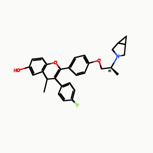 CC1C(c2ccc(F)cc2)=C(c2ccc(OC[C@H](C)N3CC4CC4C3)cc2)Oc2ccc(O)cc21